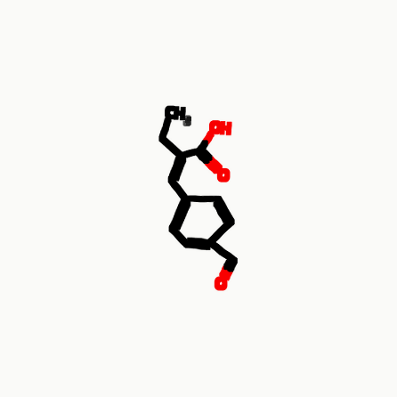 CCC(=Cc1ccc(C=O)cc1)C(=O)O